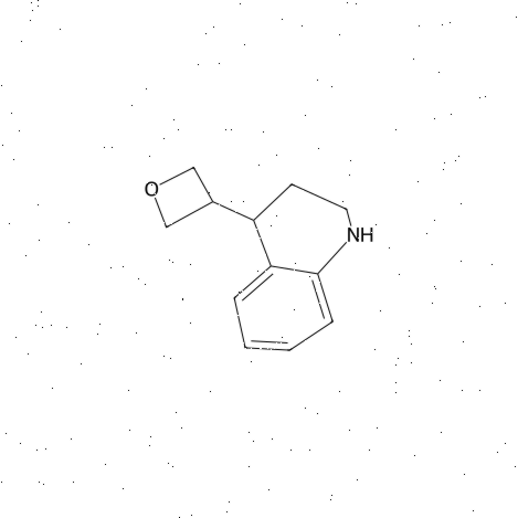 c1ccc2c(c1)NCCC2C1COC1